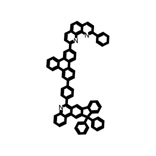 C1=CC(c2ccc3ccc4ccc(-c5ccc6c7ccc(-c8ccc(-c9nc%10ccccc%10c%10cc%11c(cc9%10)-c9ccccc9C%11(c9ccccc9)c9ccccc9)cc8)cc7c7ccccc7c6c5)nc4c3n2)=CCC1